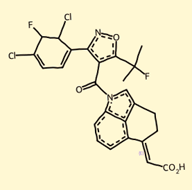 CC(C)(F)c1onc(C2=CC=C(Cl)C(F)C2Cl)c1C(=O)n1cc2c3c(cccc31)/C(=C/C(=O)O)CC2